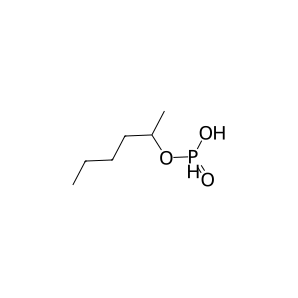 CCCCC(C)O[PH](=O)O